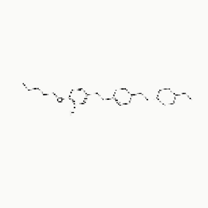 CCCCCOc1ccc(CCC2=CCC(CC[C@H]3CC[C@H](CC)CC3)CC2)cc1F